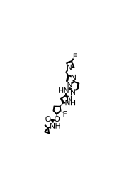 CC1(NC(=O)O[C@H]2CC[C@@H](c3cc(Nc4nccc5nc(CN6CC(F)C6)cn45)n[nH]3)[C@@H]2F)CC1